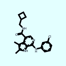 Cc1[nH]c2c(Nc3cccc(Cl)c3)ncc(C(=O)NCC3CCC3)c2c1C